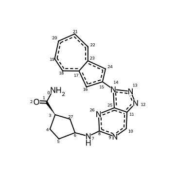 NC(=O)[C@@H]1CCC(Nc2ncc3nnn(-c4cc5cccccc-5c4)c3n2)C1